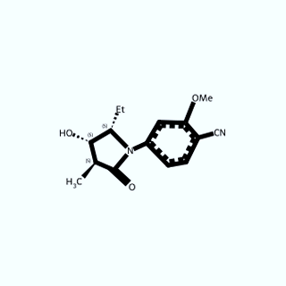 CC[C@H]1[C@@H](O)[C@H](C)C(=O)N1c1ccc(C#N)c(OC)c1